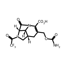 NC(=O)OCC1=C(C(=O)O)N2C(=O)[C@@H]3[C@H]2[C@H](C1)CN3C(=O)C(F)(F)F